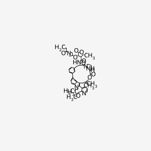 C=CC(=O)N1CC(O[C@@H]2C(=O)O[C@H](C)[C@H]2C(=O)N[C@H]2Cc3cccc(c3)-c3ccc4c(c3)c(c(-c3cccnc3[C@H](C)OC)n4CC)CC(C)(C)COC(=O)[C@@H]3CCCN(N3)C2=O)C1